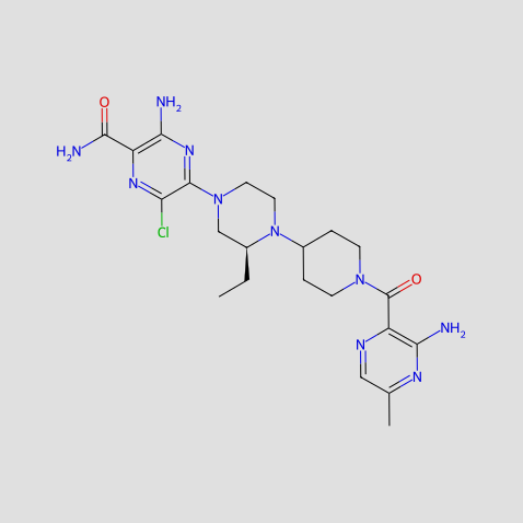 CC[C@H]1CN(c2nc(N)c(C(N)=O)nc2Cl)CCN1C1CCN(C(=O)c2ncc(C)nc2N)CC1